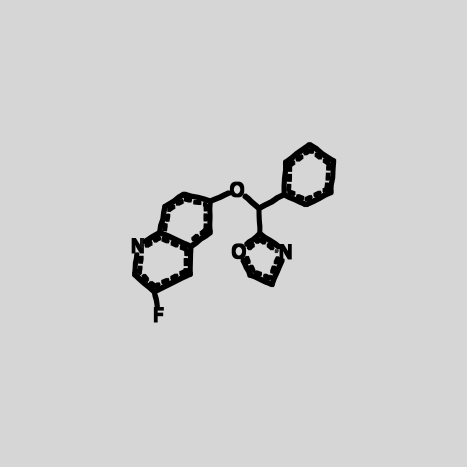 Fc1cnc2ccc(OC(c3ccccc3)c3ncco3)cc2c1